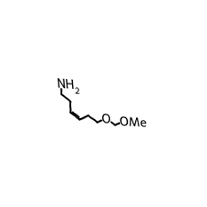 COCOCC/C=C\CCN